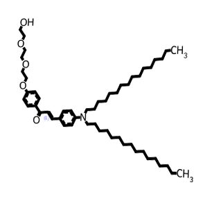 CCCCCCCCCCCCCCCCN(CCCCCCCCCCCCCCCC)c1ccc(/C=C/C(=O)c2ccc(OCCOCCOCCO)cc2)cc1